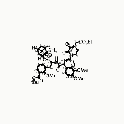 CCOC(=O)CN1CCN(C(=O)NC(C(=O)NC(Cc2cccc(C(=O)OC(C)(C)C)c2OC)B2O[C@@H]3C[C@@H]4C[C@@H](C4(C)C)[C@]3(C)O2)c2ccc(OC)c(OC)c2Cl)C(=O)C1=O